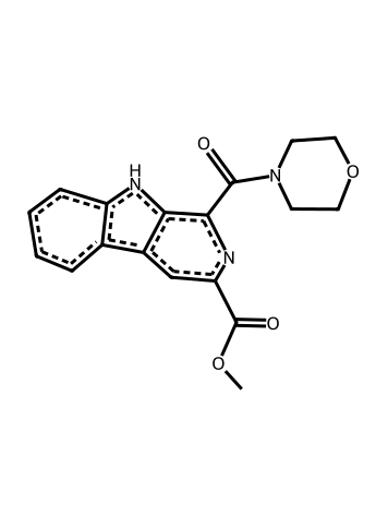 COC(=O)c1cc2c([nH]c3ccccc32)c(C(=O)N2CCOCC2)n1